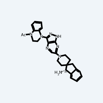 CC(=O)N1CCN(c2n[nH]c3nc(N4CCC5(CC4)Cc4ccccc4[C@@H]5N)cnc23)c2ccccc21